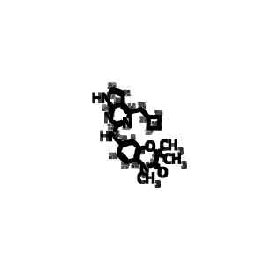 CN1C(=O)C(C)(C)Oc2cc(Nc3nc(CC4CCC4)c4cc[nH]c4n3)ccc21